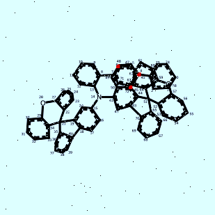 c1ccc(-c2ccc(-c3ccccc3N(c3ccc4c(c3)C3(c5ccccc5Oc5ccccc53)c3ccccc3-4)c3cc4c(c5ccccc35)C3(c5ccccc5Oc5ccccc53)c3ccccc3-4)cc2)cc1